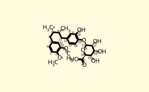 COc1ccc(C[C@H](C)[C@H](C)Cc2ccc(O[C@@H]3O[C@H](C(=O)O)[C@@H](O)[C@H](O)[C@H]3O)c(O)c2)cc1OC